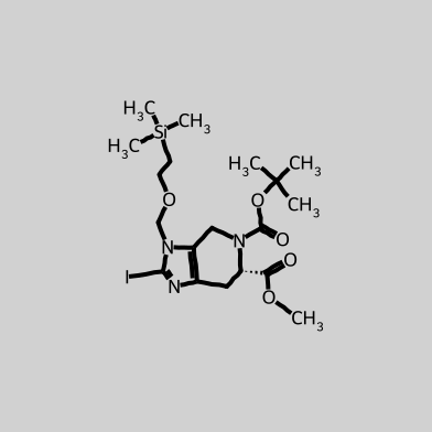 COC(=O)[C@@H]1Cc2nc(I)n(COCC[Si](C)(C)C)c2CN1C(=O)OC(C)(C)C